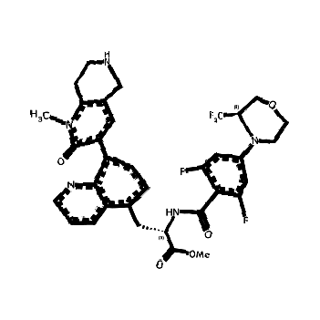 COC(=O)[C@H](Cc1ccc(-c2cc3c(n(C)c2=O)CCNC3)c2ncccc12)NC(=O)c1c(F)cc(N2CCOC[C@@H]2C(F)(F)F)cc1F